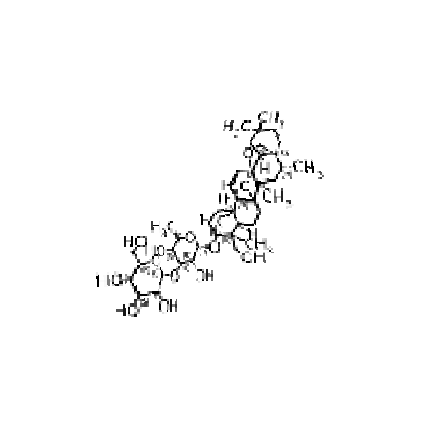 C[C@@H]1C[C@]2(C)[C@@]3(C=C[C@@H]4[C@@]5(C)CC[C@H](O[C@@H]6O[C@H](C)[C@H](O)[C@H](O[C@@H]7O[C@H](CO)[C@@H](O)[C@H](O)[C@H]7O)[C@H]6O)[C@@](C)(CO)[C@@H]5CC[C@]42C)OC[C@@]12CCC(C)(C)C[C@H]23